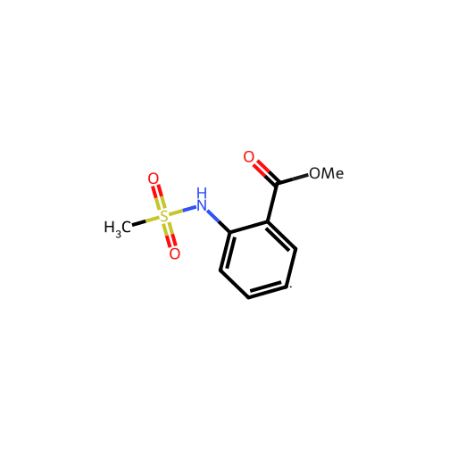 COC(=O)c1c[c]ccc1NS(C)(=O)=O